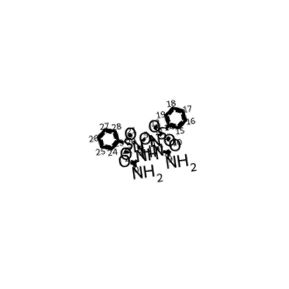 NC(=O)NN(ON(NC(N)=O)S(=O)(=O)c1ccccc1)S(=O)(=O)c1ccccc1